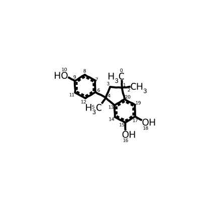 CC1(C)CC(C)(c2ccc(O)cc2)c2cc(O)c(O)cc21